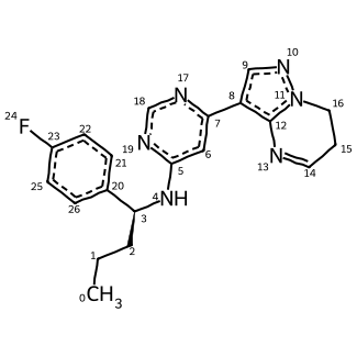 CCC[C@H](Nc1cc(-c2cnn3c2N=CCC3)ncn1)c1ccc(F)cc1